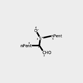 CCCCCC(C=O)[S+]([O-])CCCCC